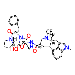 Cn1cc2c3c(cccc31)C1=C[C@@H](C(=O)N[C@]3(C)O[C@@]4(O)[C@@H]5CCCN5C(=O)[C@H](Cc5ccccc5)N4C3=O)CN(C(F)(F)F)[C@@H]1C2